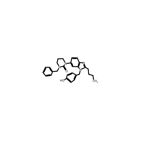 CCCCc1nc2ccc(N3CCCN(Cc4ccccc4)C3=O)cc2n1Cc1ccc(O)cc1